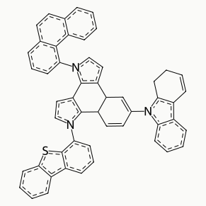 C1=Cc2c(n(C3=CC4c5ccn(-c6cccc7ccc8ccccc8c67)c5-c5ccn(-c6cccc7c6sc6ccccc67)c5C4C=C3)c3ccccc23)CC1